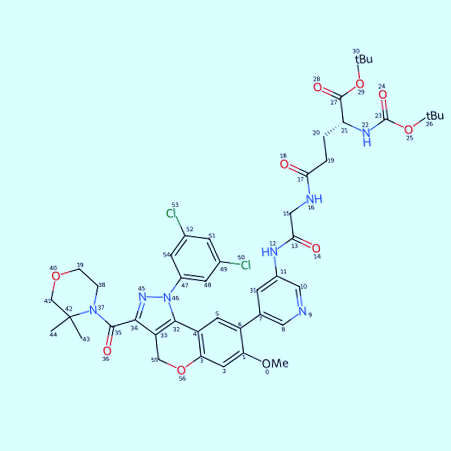 COc1cc2c(cc1-c1cncc(NC(=O)CNC(=O)CC[C@@H](NC(=O)OC(C)(C)C)C(=O)OC(C)(C)C)c1)-c1c(c(C(=O)N3CCOCC3(C)C)nn1-c1cc(Cl)cc(Cl)c1)CO2